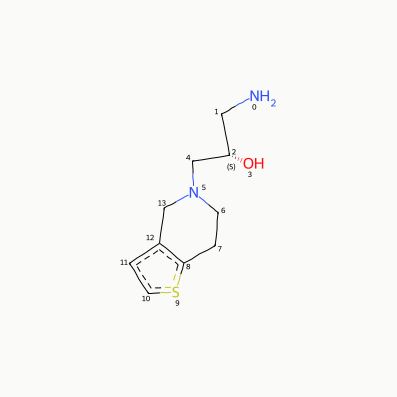 NC[C@H](O)CN1CCc2sccc2C1